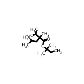 CCC(C)(C)OC(=O)C(C)(CC(C)C)C(C)C